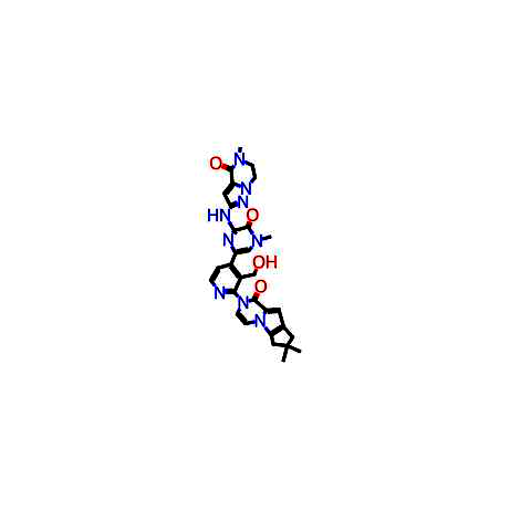 CN1CCn2nc(Nc3nc(-c4ccnc(-n5ccn6c7c(cc6c5=O)CC(C)(C)C7)c4CO)cn(C)c3=O)cc2C1=O